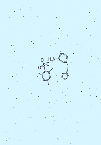 Cc1cc(C)c(S(=O)(=O)[O-])c(C)c1.N[n+]1cccc(Cn2cccc2)c1